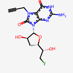 C#CCn1c(=O)n([C@@H]2O[C@H]([C@H](O)CF)C[C@H]2O)c2nc(N)[nH]c(=O)c21